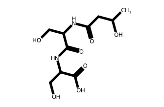 CC(O)CC(=O)NC(CO)C(=O)NC(CO)C(=O)O